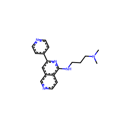 CN(C)CCCNc1nc(-c2ccncc2)cc2cnccc12